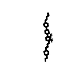 C=CCCCC1CCC(C2CCC(c3ccc(CC/C=C/C4CCC(CCC)CC4)c(F)c3F)CC2)CC1